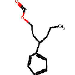 CCCC(CCO[C]=O)c1ccccc1